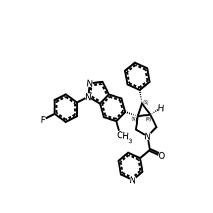 Cc1cc2c(cnn2-c2ccc(F)cc2)cc1[C@@]12CN(C(=O)c3cccnc3)C[C@@H]1[C@H]2c1ccccc1